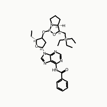 CC[C@H]1O[C@@H](n2cnc3c(NC(=O)c4ccccc4)ncnc32)CC1OP1O[C@H](C[Si](CC)(CC)CC)[C@@H]2CCCN21